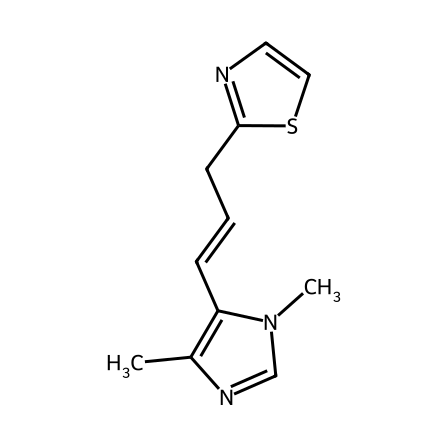 Cc1ncn(C)c1/C=C/Cc1nccs1